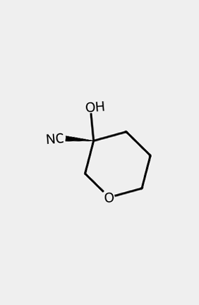 N#C[C@@]1(O)CCCOC1